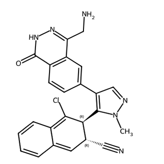 Cn1ncc(-c2ccc3c(=O)[nH]nc(CN)c3c2)c1[C@@H]1C(Cl)=c2ccccc2=C[C@H]1C#N